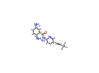 C[Si](C)(C)C#Cc1ccc(NC(=O)c2cc(N)ccc2N)nc1